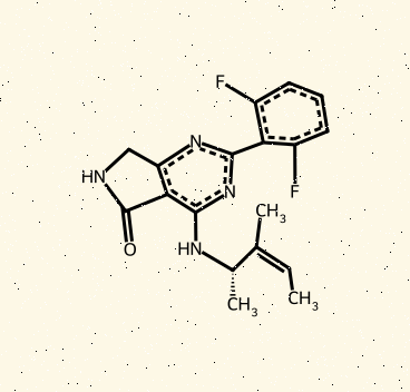 C/C=C(/C)[C@H](C)Nc1nc(-c2c(F)cccc2F)nc2c1C(=O)NC2